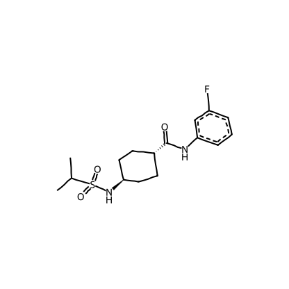 CC(C)S(=O)(=O)N[C@H]1CC[C@H](C(=O)Nc2cccc(F)c2)CC1